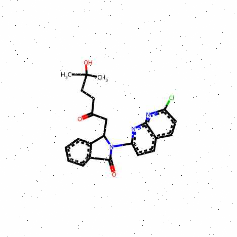 CC(C)(O)CCC(=O)CC1c2ccccc2C(=O)N1c1ccc2ccc(Cl)nc2n1